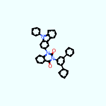 O=c1c2ccccc2n(-c2ccc3c(c2)c2ccccc2n3-c2ccccc2)c(=O)n1-c1cc(-c2ccccc2)cc(-c2ccccc2)c1